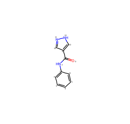 O=C(Nc1ccccc1)c1cn[nH]c1